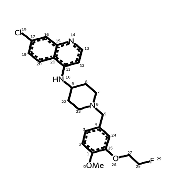 COc1ccc(CN2CCC(Nc3ccnc4cc(Cl)ccc34)CC2)cc1OCCF